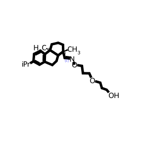 CC(C)c1ccc2c(c1)CCC1[C@@](C)(/C=N/OCCCOCCCO)CCC[C@]21C